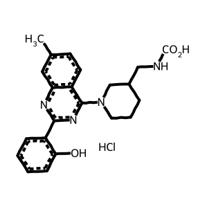 Cc1ccc2c(N3CCCC(CNC(=O)O)C3)nc(-c3ccccc3O)nc2c1.Cl